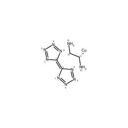 N1=NC(=C2N=NN=N2)N=N1.NCCN.[Cu]